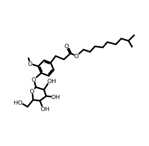 COc1cc(CCC(=O)OCCCCCCCC(C)C)ccc1OC1OC(CO)C(O)C(O)C1O